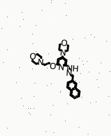 C(=N\Nc1cc(N2CCOCC2)cc(OCCN2CCOCC2)n1)/c1ccc2ccccc2c1